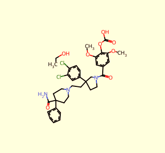 CCO.COc1cc(C(=O)N2CCC(CCN3CCC(C(N)=O)(c4ccccc4)CC3)(c3ccc(Cl)c(Cl)c3)C2)cc(OC)c1OC(=O)O